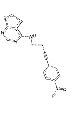 O=[N+]([O-])c1ccc(C#CCCNc2ncnc3sccc23)cc1